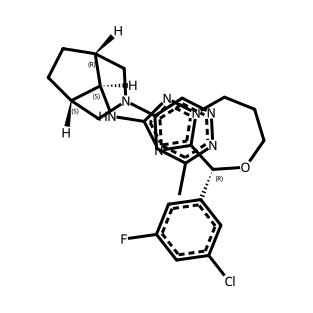 Cc1cc(N2C[C@H]3CC[C@@H](C2)[C@@H]3Nc2nc3n(n2)CCCO[C@@H]3c2cc(F)cc(Cl)c2)cnn1